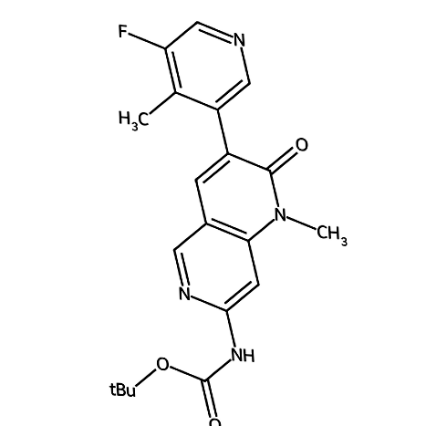 Cc1c(F)cncc1-c1cc2cnc(NC(=O)OC(C)(C)C)cc2n(C)c1=O